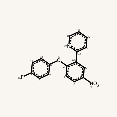 O=[N+]([O-])c1ccc(Oc2ccc(F)cc2)c(-c2ccccn2)c1